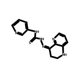 S=C(N/N=C1/CCNc2cccnc21)Nc1cccnc1